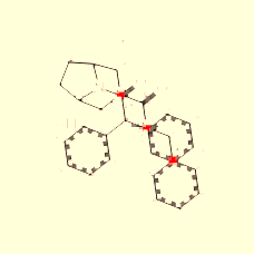 O=C(NCc1ccccc1)N1C[C@H]2CC[C@@H](C1)N2C(=O)C(c1ccccc1)c1ccccc1